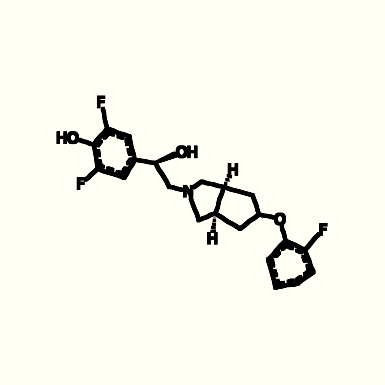 Oc1c(F)cc([C@@H](O)CN2C[C@H]3CC(Oc4ccccc4F)C[C@H]3C2)cc1F